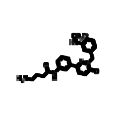 CCOC(=O)Nc1cccc(Cn2nc(-c3cccc(NC(=O)CCCN)c3)ccc2=O)c1